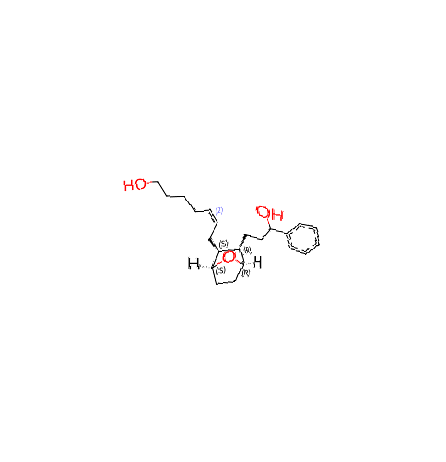 OCCCC/C=C\C[C@H]1[C@@H](CCC(O)c2ccccc2)[C@H]2CC[C@@H]1O2